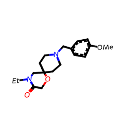 CCN1CC2(CCN(Cc3ccc(OC)cc3)CC2)OCC1=O